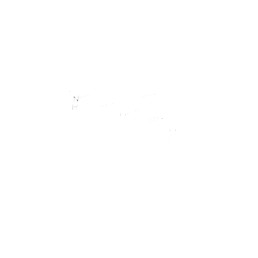 CNCCCOc1cccc(OC)c1